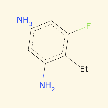 CCc1c(N)cccc1F.N